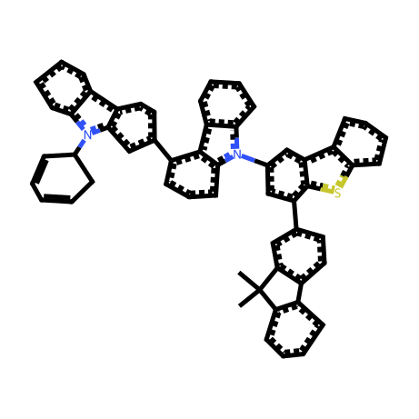 CC1(C)c2ccccc2-c2ccc(-c3cc(-n4c5ccccc5c5c(-c6ccc7c8ccccc8n(C8C=CC=CC8)c7c6)cccc54)cc4c3sc3ccccc34)cc21